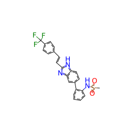 CS(=O)(=O)Nc1ccccc1-c1ccc2[nH]c(C=Cc3ccc(C(F)(F)F)cc3)nc2c1